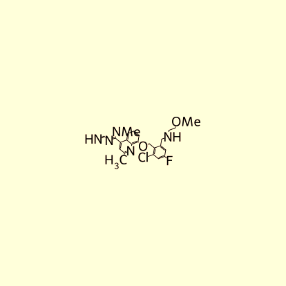 CN/C(=N\C=N)c1cc(C)nc2c(OCc3c(Cl)cc(F)cc3CNCCOC)cccc12